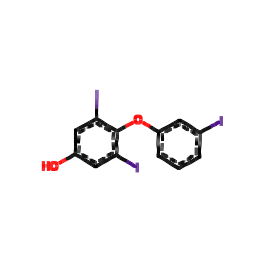 Oc1cc(I)c(Oc2cccc(I)c2)c(I)c1